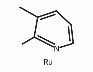 Cc1cccnc1C.[Ru]